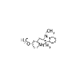 CCN1/C(=C/c2cc(OC)cc[n+]2C)Sc2ccccc21